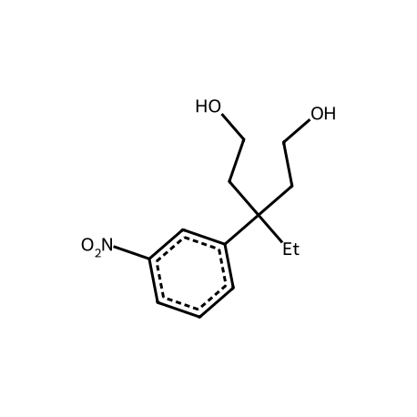 CCC(CCO)(CCO)c1cccc([N+](=O)[O-])c1